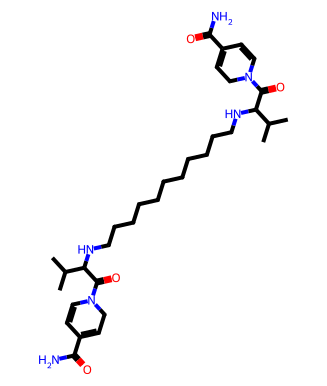 CC(C)C(NCCCCCCCCCCCNC(C(=O)N1C=CC(C(N)=O)=CC1)C(C)C)C(=O)N1C=CC(C(N)=O)=CC1